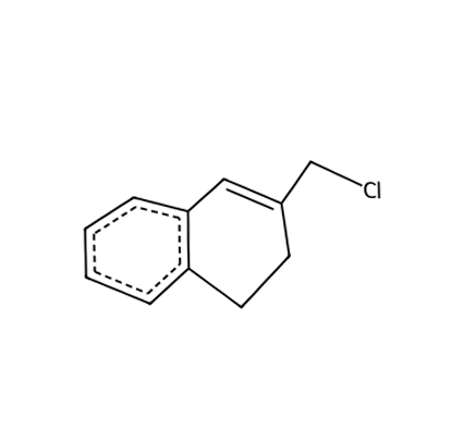 ClCC1=Cc2ccccc2CC1